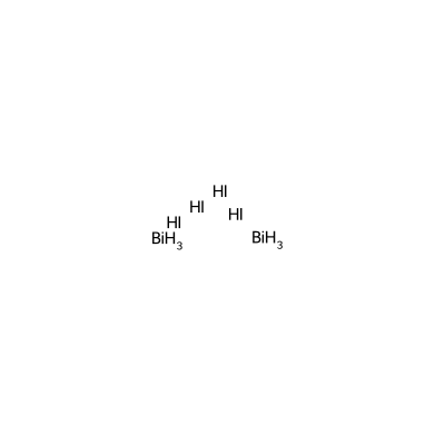 I.I.I.I.[BiH3].[BiH3]